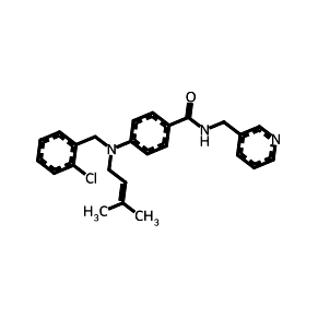 CC(C)=CCN(Cc1ccccc1Cl)c1ccc(C(=O)NCc2cccnc2)cc1